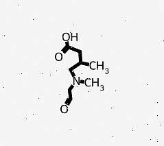 CC(CC(=O)O)CN(C)CC=O